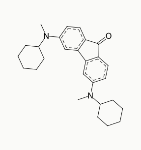 CN(c1ccc2c(c1)-c1cc(N(C)C3CCCCC3)ccc1C2=O)C1CCCCC1